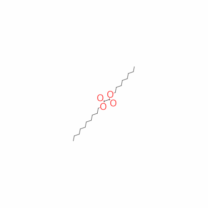 CCCCCCCCCCOC(=O)C(=O)OCCCCCCCC